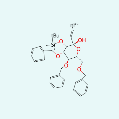 CCCC=C[C@]1(O)O[C@H](COCc2ccccc2)[C@@H](OCc2ccccc2)[C@H](OCc2ccccc2)[C@@H]1O[Si](C)(C)C(C)(C)C